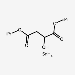 CC(C)OC(=O)CC(O)C(=O)OC(C)C.[SnH4]